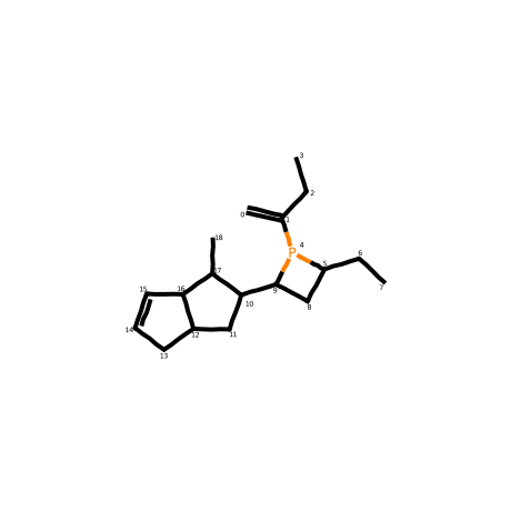 C=C(CC)P1C(CC)CC1C1CC2CC=CC2C1C